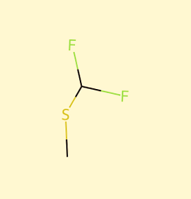 CSC(F)F